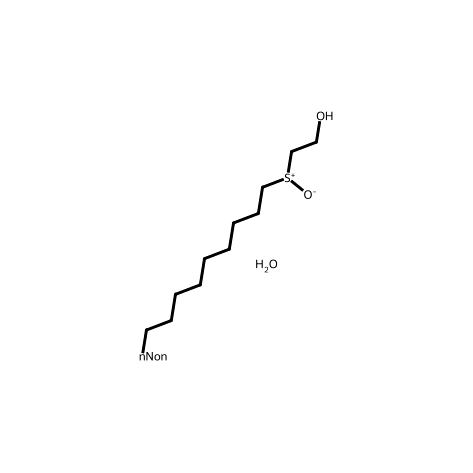 CCCCCCCCCCCCCCCCCC[S+]([O-])CCO.O